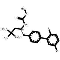 CC(C)(C)OC(=O)N[C@H](Cc1ccc(-c2cc(Cl)ccc2F)cc1)CC(C)(C(=O)O)C(=O)O